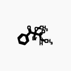 CNC(=O)C(Br)(OC)C(=O)c1ccccc1